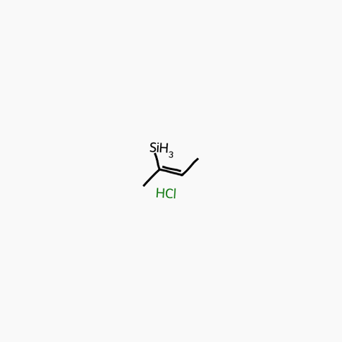 CC=C(C)[SiH3].Cl